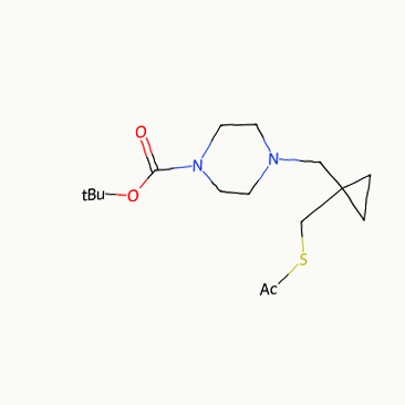 CC(=O)SCC1(CN2CCN(C(=O)OC(C)(C)C)CC2)CC1